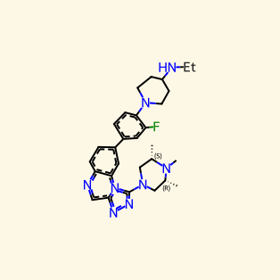 CCNC1CCN(c2ccc(-c3ccc4ncc5nnc(N6C[C@@H](C)N(C)[C@@H](C)C6)n5c4c3)cc2F)CC1